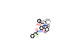 CC(C)C[N+]1(CCc2ccccc2)CC[C@]23c4c5c(O)cc(NC(=O)C(=Cc6ccccc6)C(F)(F)F)c4O[C@H]2CCC[C@H]3[C@H]1C5